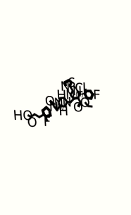 CCOC(=O)C1=C(CN2CCN3C(=O)N(c4ccc(CCC(=O)O)c(F)c4)C[C@@H]3C2)NC(c2nccs2)=N[C@H]1c1ccc(F)cc1Cl